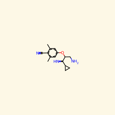 Cc1cc(OC(CN)C(=N)C2CC2)cc(C)c1C#N